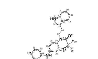 O=C1N(CCc2c[nH]c3ccccc23)c2ccc(Nc3ccncc3)cc2OC1(F)F